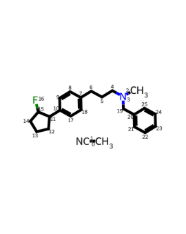 CC#N.CN(CCCc1ccc(C2CCCC2F)cc1)Cc1ccccc1